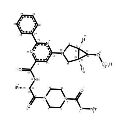 CCCOC(=O)N1CCN(C(=O)[C@@H](NC(=O)c2cc(N3C[C@@H]4[C@H](C3)[C@@H]4OC(=O)O)nc(-c3ccccc3)n2)C(C)C)CC1